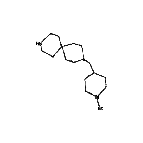 CCN1CCC(CN2CCC3(CCNCC3)CC2)CC1